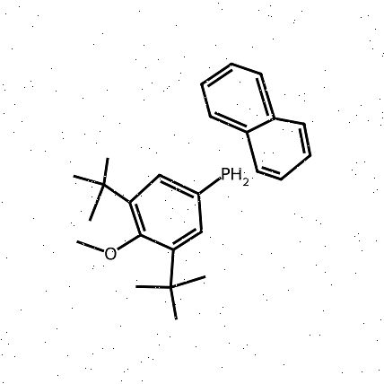 COc1c(C(C)(C)C)cc(P)cc1C(C)(C)C.c1ccc2ccccc2c1